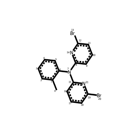 Cc1ccccc1N(c1cccc(Br)n1)c1cccc(Br)n1